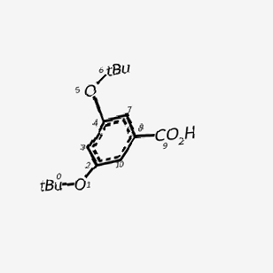 CC(C)(C)Oc1cc(OC(C)(C)C)cc(C(=O)O)c1